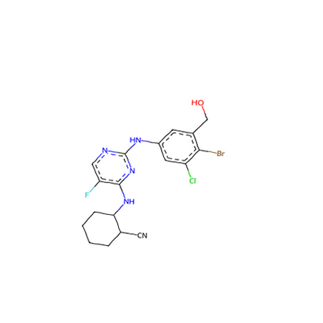 N#CC1CCCCC1Nc1nc(Nc2cc(Cl)c(Br)c(CO)c2)ncc1F